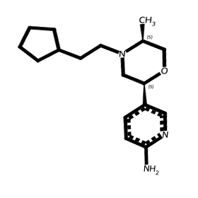 C[C@H]1CO[C@@H](c2ccc(N)nc2)CN1CCC1CCCC1